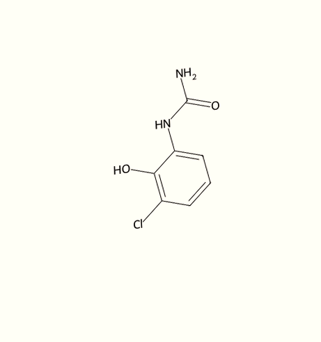 NC(=O)Nc1cccc(Cl)c1O